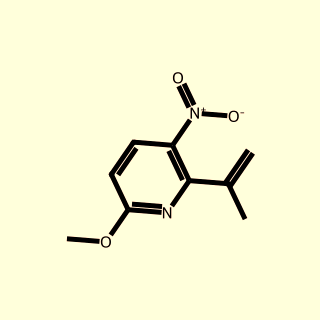 C=C(C)c1nc(OC)ccc1[N+](=O)[O-]